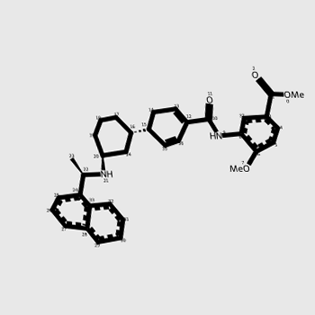 COC(=O)c1ccc(OC)c(NC(=O)C2=CCC([C@H]3CCC[C@H](N[C@H](C)c4cccc5ccccc45)C3)C=C2)c1